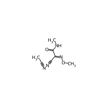 CC#N.CNC(=O)C(C#N)=NOC